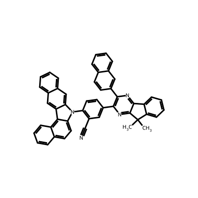 CC1(C)c2ccccc2-c2nc(-c3ccc4ccccc4c3)c(-c3ccc(-n4c5cc6ccccc6cc5c5c6ccccc6ccc54)c(C#N)c3)nc21